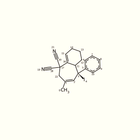 CC1=C[C@@](I)(c2ccccc2)C2CCCC=C2C(C#N)(C#N)C1